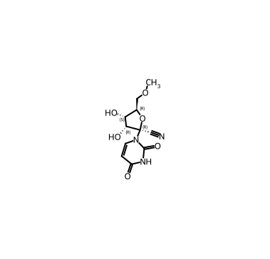 COC[C@H]1O[C@@](C#N)(n2ccc(=O)[nH]c2=O)[C@H](O)[C@@H]1O